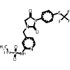 CNS(=O)(=O)Nc1cc(CN2CC(=O)N(c3ccc(SC(F)(F)F)cc3)C2=O)ccn1